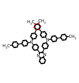 Cc1ccc(-c2ccc(N(c3ccc(-c4ccc(C)cc4)cc3)c3ccc(-c4nc5ccccc5nc4-c4ccc(N(c5ccc(-c6ccc(C)cc6)cc5)c5ccc(-c6ccc(C)cc6)cc5)cc4)cc3)cc2)cc1